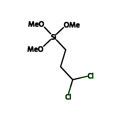 CO[Si](CCC(Cl)Cl)(OC)OC